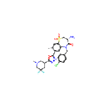 Cc1cc2c(cc1-c1nnc(C3CN(C)CC(F)(F)C3)o1)N(Cc1ccc(Cl)cc1)C(=O)[C@@H](N)CS2(=O)=O